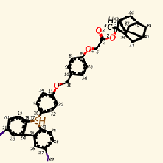 CC1(OC(=O)COc2ccc(COc3ccc([SH]4c5ccc(I)cc5-c5cc(I)ccc54)cc3)cc2)C2CC3CC(C2)CC1C3